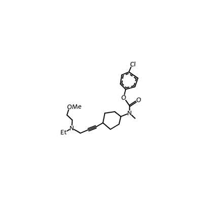 CCN(CC#CC1CCC(N(C)C(=O)Oc2ccc(Cl)cc2)CC1)CCOC